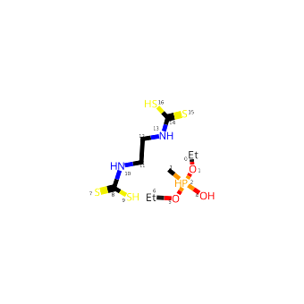 CCO[PH](C)(O)OCC.S=C(S)NCCNC(=S)S